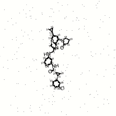 O=C(Nc1cc(NCc2cn3cc(C4CC4)cc(N4CCCC4=O)c3n2)ccn1)[C@@H]1C[C@H]1c1cccc(Cl)c1